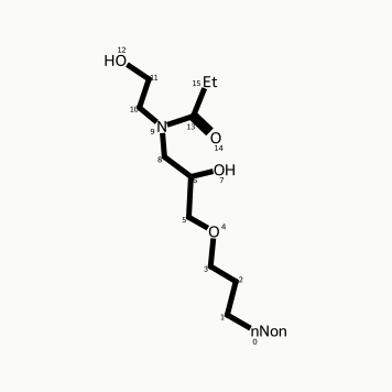 CCCCCCCCCCCCOCC(O)CN(CCO)C(=O)CC